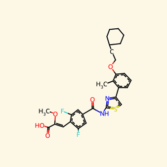 COC(=Cc1c(F)cc(C(=O)Nc2nc(-c3cccc(OCCC4CCCCC4)c3C)cs2)cc1F)C(=O)O